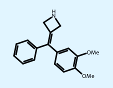 COc1ccc(C(=C2CNC2)c2ccccc2)cc1OC